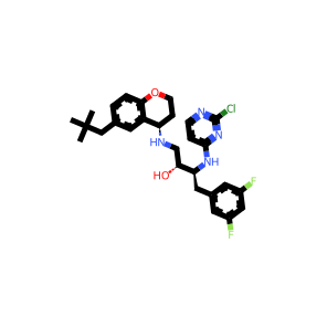 CC(C)(C)Cc1ccc2c(c1)[C@@H](NC[C@@H](O)[C@H](Cc1cc(F)cc(F)c1)Nc1ccnc(Cl)n1)CCO2